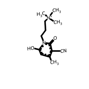 Cc1cc(O)n(CCC[N+](C)(C)C)c(=O)c1C#N